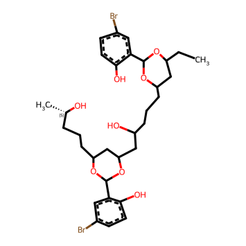 CCC1CC(CCCC(O)CC2CC(CCC[C@H](C)O)OC(c3cc(Br)ccc3O)O2)OC(c2cc(Br)ccc2O)O1